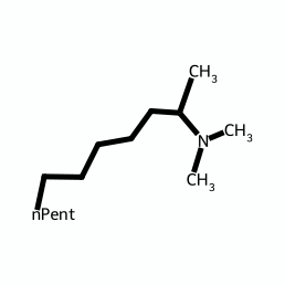 CCCCCCCCCCC(C)N(C)C